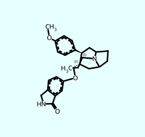 CCCN1C2CCC1C[C@H](c1ccc(OC)cc1)[C@@H](COc1ccc3c(c1)C(=O)NC3)C2